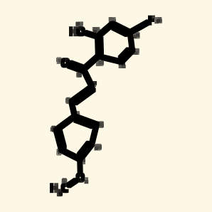 COc1ccc(C=CC(=O)c2ccc(F)cc2O)cc1